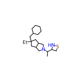 CCC1(CC2CCCCC2)CC2CN(C(C)C3CSN3)CC2C1